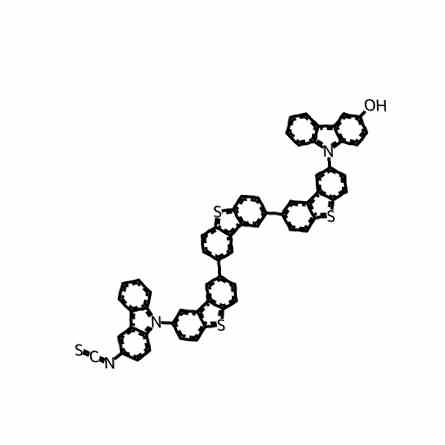 Oc1ccc2c(c1)c1ccccc1n2-c1ccc2sc3ccc(-c4ccc5sc6ccc(-c7ccc8sc9ccc(-n%10c%11ccccc%11c%11cc(N=C=S)ccc%11%10)cc9c8c7)cc6c5c4)cc3c2c1